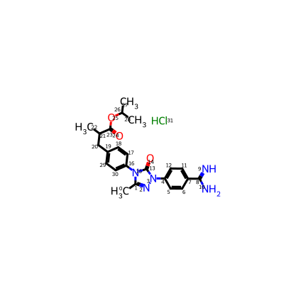 Cc1nn(-c2ccc(C(=N)N)cc2)c(=O)n1-c1ccc(CC(C)C(=O)OC(C)C)cc1.Cl